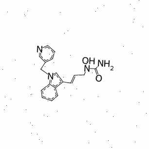 NC(=O)N(O)CC=Cc1cn(Cc2cccnc2)c2ccccc12